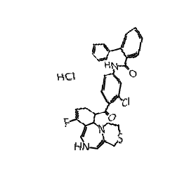 Cl.O=C(Nc1ccc(C(=O)C2CC=C(F)C3=CNC=C4CSCCN4C32)c(Cl)c1)c1ccccc1-c1ccccc1